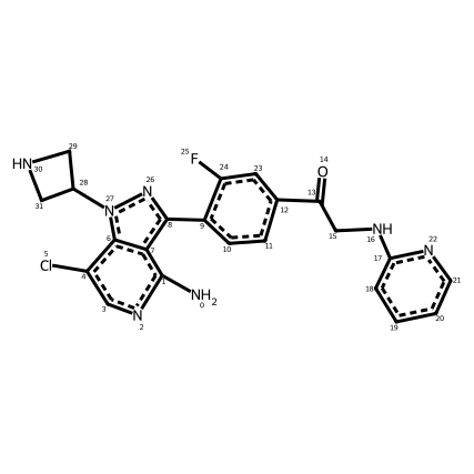 Nc1ncc(Cl)c2c1c(-c1ccc(C(=O)CNc3ccccn3)cc1F)nn2C1CNC1